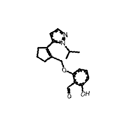 CC(C)n1nccc1C1=C(COc2cccc(O)c2C=O)CCC1